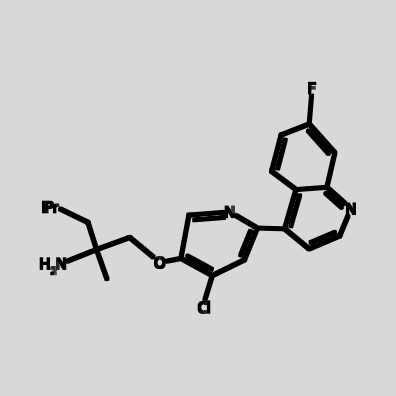 CC(C)CC(C)(N)COc1cnc(-c2ccnc3cc(F)ccc23)cc1Cl